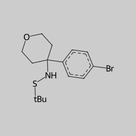 CC(C)(C)SNC1(c2ccc(Br)cc2)CCOCC1